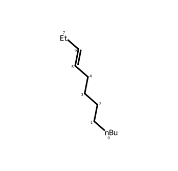 [CH2]CCCCCCCC=CCC